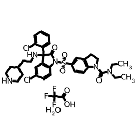 CCN(CC)C(=O)N1CCc2cc(S(=O)(=O)N3C(=O)C(NCCC4CCNCC4)(c4ccccc4Cl)c4cc(Cl)ccc43)ccc21.O.O=C(O)C(F)(F)F